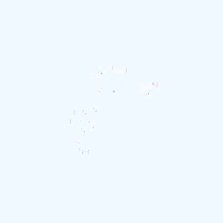 C[C@@](N)(CN1CC(Oc2ccc([C@@H]3C[C@@H]3B(O)O)c(O)c2C(=O)O)C1)C(=O)NCC(N)=O